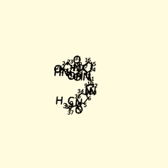 CC1(C(=O)N2CCC(n3cc(CNc4cccc5c4C(=O)N(C4CCC(=O)NC4=O)C5=O)cn3)CC2)CC1